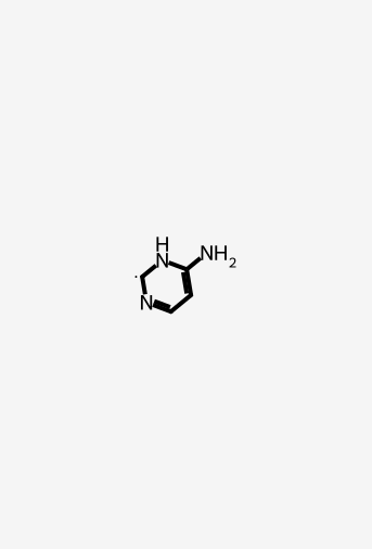 NC1=CC=N[CH]N1